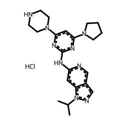 CC(C)n1ncc2cnc(Nc3nc(N4CCCC4)cc(N4CCNCC4)n3)cc21.Cl